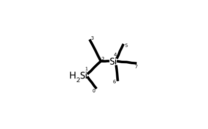 C[SiH2]C(C)[Si](C)(C)C